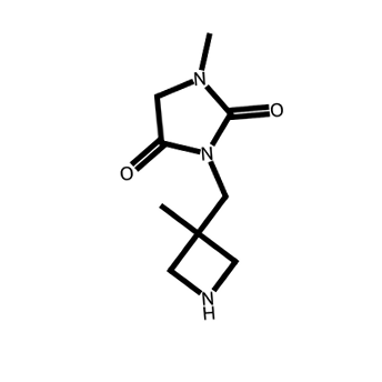 CN1CC(=O)N(CC2(C)CNC2)C1=O